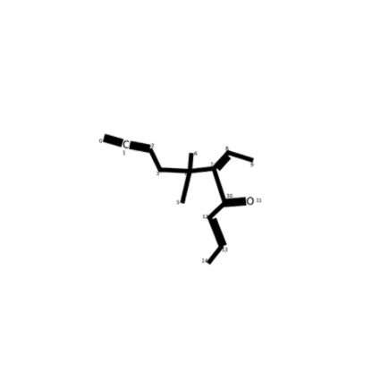 C=C=CCC(C)(C)/C(=C/C)C(=O)/C=C/C